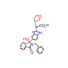 O=C(O)N(CC1CCOC1)c1nc2cc(C3(O)c4ccccc4C(=O)N3Cc3ccccc3)ccc2[nH]1